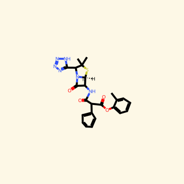 Cc1ccccc1OC(=O)C(C(=O)NC1C(=O)N2C(c3nnn[nH]3)C(C)(C)S[C@@H]12)c1ccccc1